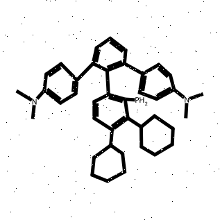 CN(C)c1ccc(-c2cccc(-c3ccc(N(C)C)cc3)c2-c2ccc(C3CCCCC3)c(C3CCCCC3)c2P)cc1